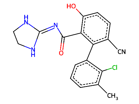 Cc1cccc(-c2c(C#N)ccc(O)c2C(=O)N=C2NCCN2)c1Cl